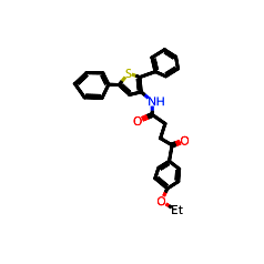 CCOc1ccc(C(=O)CCC(=O)Nc2cc(-c3ccccc3)sc2-c2ccccc2)cc1